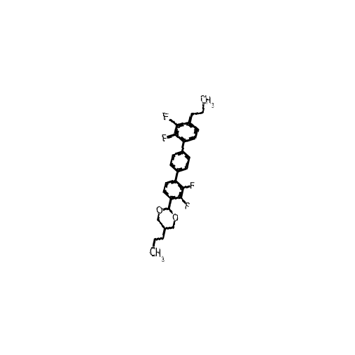 CCCc1ccc(-c2ccc(-c3ccc(C4OCC(CCC)CO4)c(F)c3F)cc2)c(F)c1F